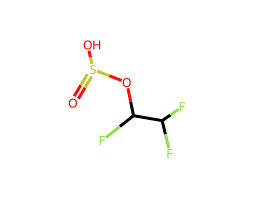 O=S(O)OC(F)C(F)F